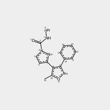 CCCNC(=O)n1ccc(-c2c(-c3ccccc3)noc2C)n1